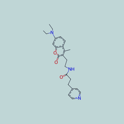 CCN(CC)c1ccc2c(C)c(CCNC(=O)CCc3ccncc3)c(=O)oc2c1